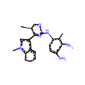 Cc1cnc(Nc2ccc(N)c(N)c2C)nc1-c1cn(C)c2ccccc12